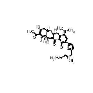 COCCN(C)Cc1ccc(-c2cc(N(C)C)c3c(c2O)C(=O)C2=C(O)[C@@]4(O)C(=O)C(C(C)=O)=C(O)C[C@H]4C[C@H]2C3)o1